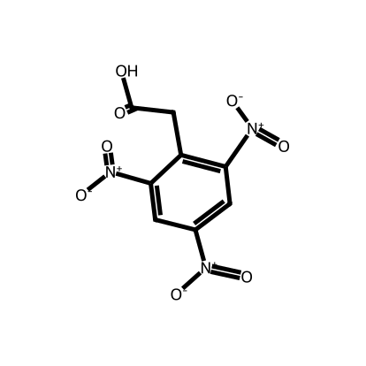 O=C(O)Cc1c([N+](=O)[O-])cc([N+](=O)[O-])cc1[N+](=O)[O-]